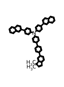 CC1(C)C=Cc2ccc(-c3ccc(-c4ccc(N(c5ccc(-c6ccc7ccccc7c6)cc5)c5ccc(-c6ccc7ccccc7c6)cc5)cc4)cc3)cc21